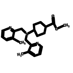 COC(=O)C1CCC(N(Cc2ncccc2C)Cc2ncccc2C)CC1